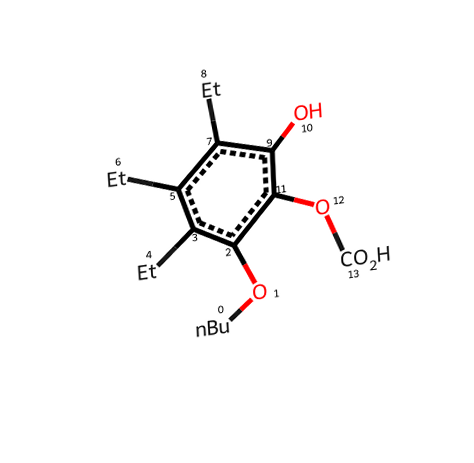 CCCCOc1c(CC)c(CC)c(CC)c(O)c1OC(=O)O